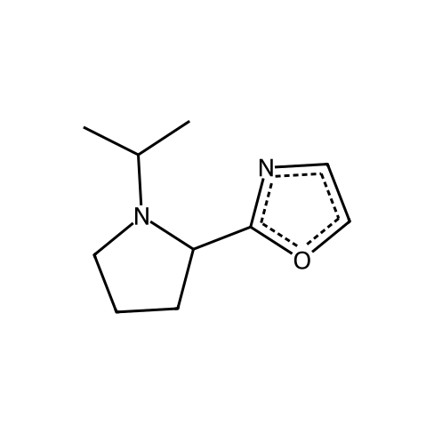 CC(C)N1CCCC1c1ncco1